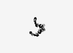 CC(C)(C)[Si](C)(C)OCCc1ccn(C2=CC3CN(C2)C(=O)N3OS(=O)(=O)ON2C(=O)N3CC(n4ccc(CCO[Si](C)(C)C(C)(C)C)n4)=CC2C3)n1